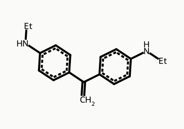 C=C(c1ccc(NCC)cc1)c1ccc(NCC)cc1